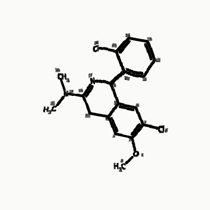 COc1cc2c(cc1Cl)C(c1ccccc1Cl)N=C(N(C)C)C2